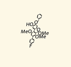 COC(=O)c1c(OC)c(-c2ccc(F)cc2)cc(OC)c1-c1ccc(OCc2ccccc2)c(O)c1